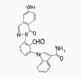 CC(C)(C)c1ccc2c(=O)n(-c3cccc(-n4cc(C(N)=O)c5ccccc54)c3C=O)ncc2c1